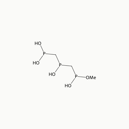 COP(O)CP(O)CP(O)O